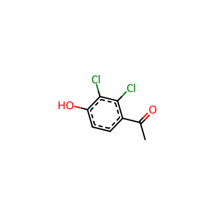 CC(=O)c1ccc(O)c(Cl)c1Cl